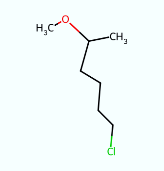 COC(C)CCCCCl